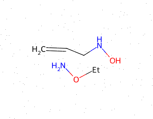 C=CCNO.CCON